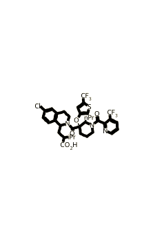 CCC[C@H]1N(C(=O)c2ncccc2C(F)(F)F)CCC[C@@]1(Oc1csc(C(F)(F)F)c1)C(=O)N1CCc2cc(Cl)ccc2C1CC(C(=O)O)C(C)C